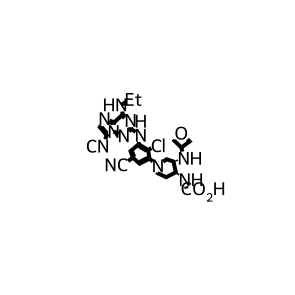 CCNc1nc(Nc2cc(C#N)cc(N3CC[C@@H](NC(=O)O)[C@@H](NC4COC4)C3)c2Cl)nn2c(C#N)cnc12